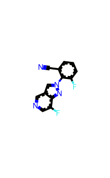 N#Cc1cccc(F)c1-n1cc2cncc(F)c2n1